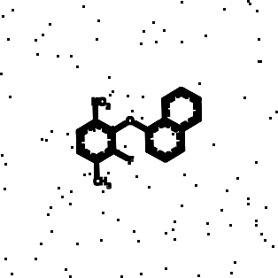 Cc1ccc([N+](=O)[O-])c(Oc2cccc3ccccc23)c1F